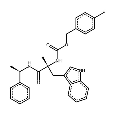 C[C@@H](NC(=O)[C@@](C)(Cc1c[nH]c2ccccc12)NC(=O)OCc1ccc(F)cc1)c1ccccc1